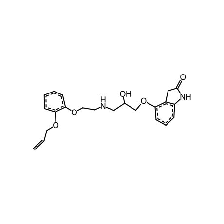 C=CCOc1ccccc1OCCNCC(O)COc1cccc2c1CC(=O)N2